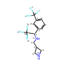 FC(F)(F)c1cccc(C(NCC2CNC2)C(F)(F)F)c1